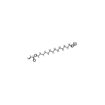 C=CC(=O)OCCCCCCCCCCCCCCOCC